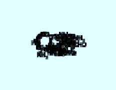 CCCC[C@H](NC(=O)[C@@H]1CCCN1C(=O)[C@@H]1CSCc2cc(CSC[C@H](NC)C(N)=O)cc(c2)OCCCCCCC(=O)NCC(=O)C[C@@H](CCCCN)C(=O)N1)C(=O)N[C@@H](CC(=O)OOC)C(=O)N[C@@H](CC1CCC1)C(=O)N[C@@H](Cc1c[nH]c2ccccc12)C(=O)N[C@@H](CCC(N)=O)C(=O)N[C@H](C=O)CCC(=O)O